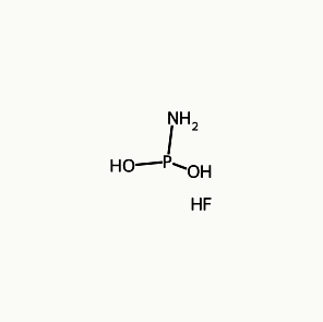 F.NP(O)O